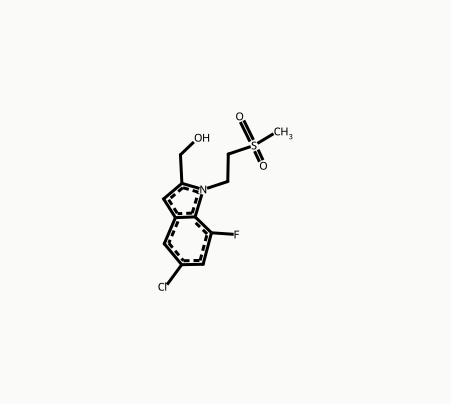 CS(=O)(=O)CCn1c(CO)cc2cc(Cl)cc(F)c21